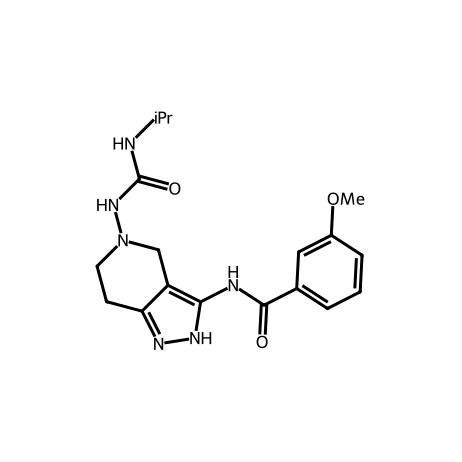 COc1cccc(C(=O)Nc2[nH]nc3c2CN(NC(=O)NC(C)C)CC3)c1